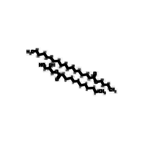 CCCCCCCCCCCC(=O)OCC(O)CO.CCCCCCCCCCCCCCCCCC(=O)OCCCC